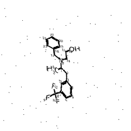 CC(Cc1cccc(C(F)(F)F)c1)N(CCO)Cc1ccccc1